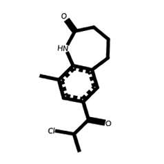 Cc1cc(C(=O)C(C)Cl)cc2c1NC(=O)CCC2